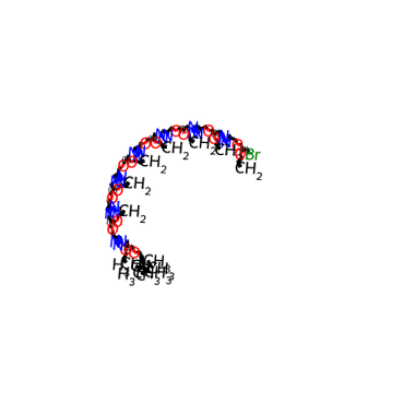 C=CCO[C@H](COCC#C[Si](C(C)C)(C(C)C)C(C)C)Cn1cc(COC[C@@H](Cn2cc(COC[C@@H](Cn3cc(COC[C@@H](Cn4cc(COC[C@@H](Cn5cc(COC[C@@H](Cn6cc(COC[C@@H](Cn7cc(COC[C@H](CBr)OCC=C)nn7)OCC=C)nn6)OCC=C)nn5)OCC=C)nn4)OCC=C)nn3)OCC=C)nn2)OCC=C)nn1